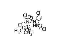 CC(C)(C)OC(=O)C(CC1CCC1)N(CC(=O)Nc1cc(Cl)ccc1-n1cc(Cl)nn1)C(=O)CCl